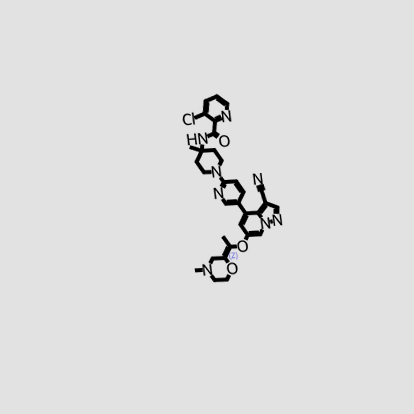 C/C(Oc1cc(-c2ccc(N3CCC(C)(NC(=O)c4ncccc4Cl)CC3)nc2)c2c(C#N)cnn2c1)=C1\CN(C)CCO1